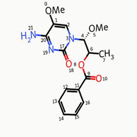 COc1cn([C@H](OC)C(C)OC(=O)c2ccccc2)c(=O)nc1N